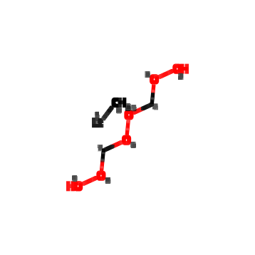 CCC.OOCOOCOO